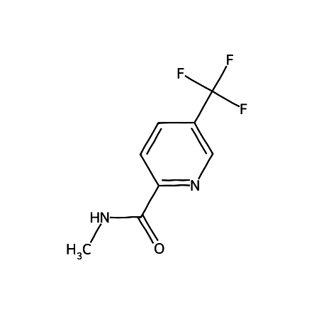 CNC(=O)c1ccc(C(F)(F)F)cn1